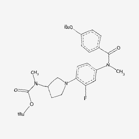 CC(C)COc1ccc(C(=O)N(C)c2ccc(N3CCC(N(C)C(=O)OC(C)(C)C)C3)c(F)c2)cc1